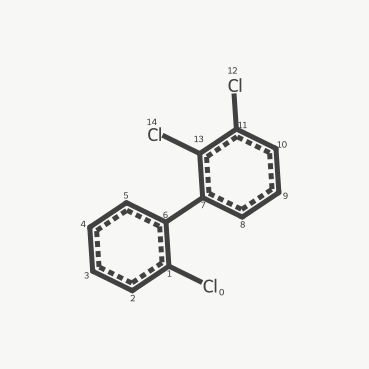 Clc1ccccc1-c1cccc(Cl)c1Cl